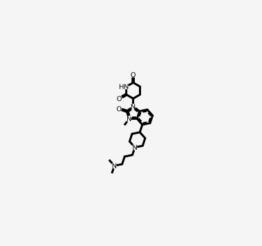 CN(C)CCCN1CCC(c2cccc3c2n(C)c(=O)n3C2CCC(=O)NC2=O)CC1